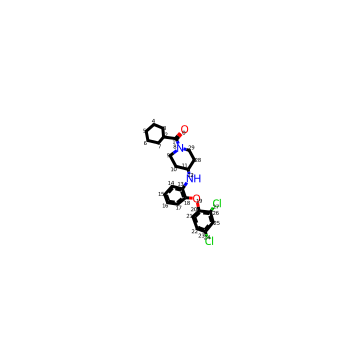 O=C(C1CCCCC1)N1CCC(Nc2ccccc2Oc2ccc(Cl)cc2Cl)CC1